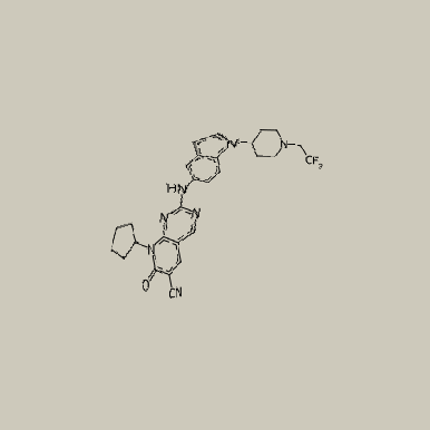 N#Cc1cc2cnc(Nc3ccc4c(ccn4C4CCN(CC(F)(F)F)CC4)c3)nc2n(C2CCCC2)c1=O